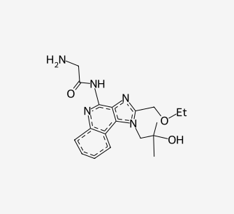 CCOCc1nc2c(NC(=O)CN)nc3ccccc3c2n1CC(C)(C)O